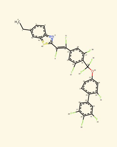 CCc1ccc2nc(/C(F)=C(\F)c3cc(F)c(C(F)(F)Oc4ccc(-c5cc(F)c(F)c(F)c5)c(F)c4)c(F)c3)sc2c1